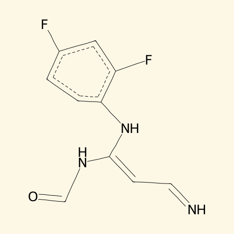 N=C/C=C(/NC=O)Nc1ccc(F)cc1F